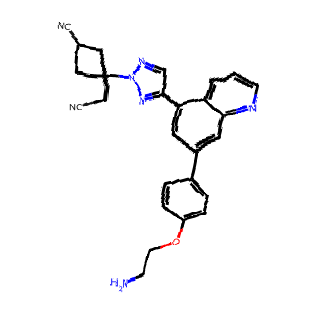 N#CCC1(n2ncc(-c3cc(-c4ccc(OCCN)cc4)cc4ncccc34)n2)CC(C#N)C1